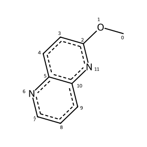 COc1ccc2n[c]ccc2n1